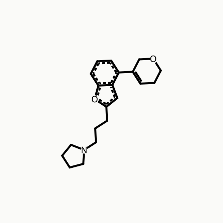 C1=C(c2cccc3oc(CCCN4CCCC4)cc23)COCC1